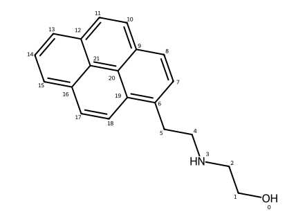 OCCNCCc1ccc2ccc3cccc4ccc1c2c34